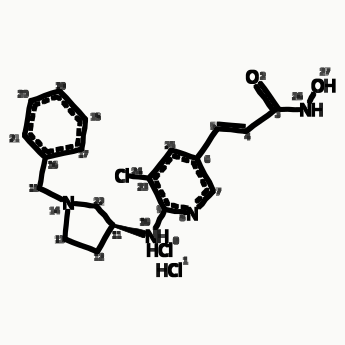 Cl.Cl.O=C(C=Cc1cnc(N[C@H]2CCN(Cc3ccccc3)C2)c(Cl)c1)NO